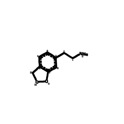 CNCCc1ccc2c(c1)OOC2